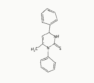 CC1=CC(c2ccccc2)NC(=S)N1c1ccccc1